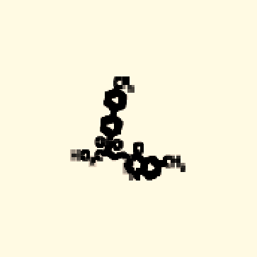 Cc1ccc2nnn(CCC(C(=O)O)S(=O)(=O)c3ccc(-c4ccc(C(F)(F)F)cc4)cc3)c(=O)c2c1